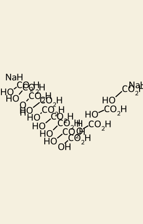 O=C(O)O.O=C(O)O.O=C(O)O.O=C(O)O.O=C(O)O.O=C(O)O.O=C(O)O.O=C(O)O.O=C(O)O.O=C(O)O.O=C(O)O.O=C(O)O.[NaH].[NaH]